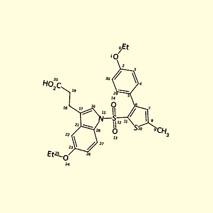 CCOc1ccc(-c2cc(C)sc2S(=O)(=O)n2cc(CCC(=O)O)c3cc(OCC)ccc32)cc1